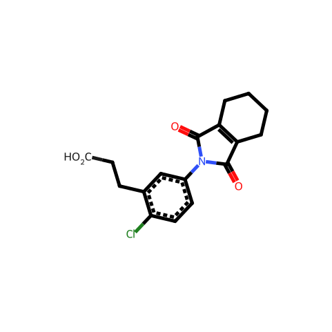 O=C(O)CCc1cc(N2C(=O)C3=C(CCCC3)C2=O)ccc1Cl